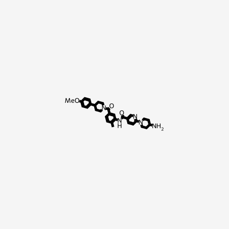 COc1ccc(C2CCN(C(=O)c3ccc(C)c(NC(=O)c4ccc(N5CCC(N)CC5)nc4)c3)CC2)cc1